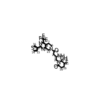 N[C@H](CC(=O)N1CCc2c(nc(-c3ccsc3)nc2C(F)(F)F)C1)CN1C(=O)CCC(F)C1O